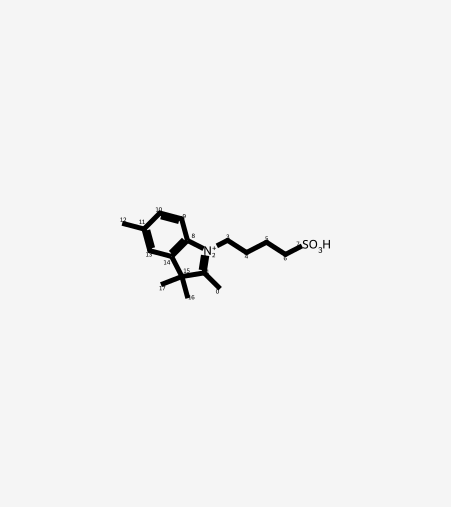 CC1=[N+](CCCCS(=O)(=O)O)c2ccc(C)cc2C1(C)C